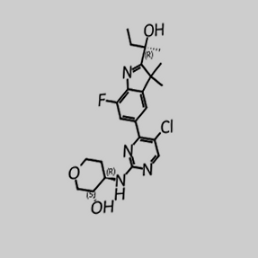 CC[C@@](C)(O)C1=Nc2c(F)cc(-c3nc(N[C@@H]4CCOC[C@H]4O)ncc3Cl)cc2C1(C)C